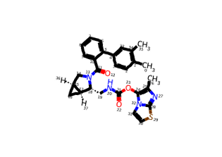 Cc1ccc(-c2ccccc2C(=O)N2C[C@@H]3C[C@@H]3[C@H]2CNC(=O)Oc2c(C)nc3sccn23)cc1C